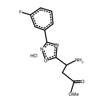 COC(=O)CC(N)c1nc(-c2cccc(F)c2)no1.Cl